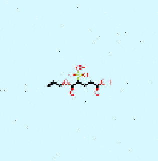 C=CCOC(=O)C(CCC(=O)O)S(=O)(=O)O